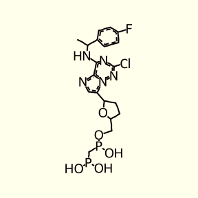 CC(Nc1nc(Cl)nn2c(C3CCC(COP(O)CP(O)O)O3)cnc12)c1ccc(F)cc1